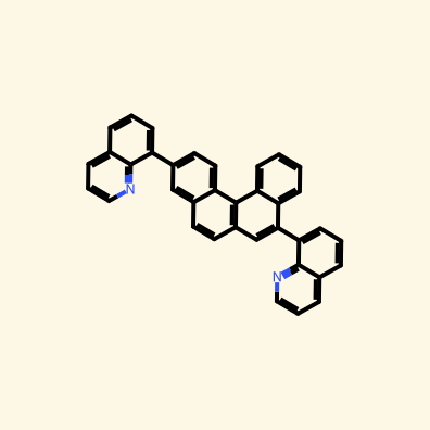 c1cnc2c(-c3ccc4c(ccc5cc(-c6cccc7cccnc67)c6ccccc6c54)c3)cccc2c1